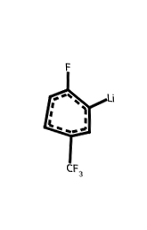 [Li][c]1cc(C(F)(F)F)ccc1F